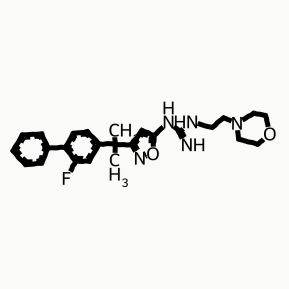 CC(C)(c1ccc(-c2ccccc2)c(F)c1)c1cc(NC(=N)NCCN2CCOCC2)on1